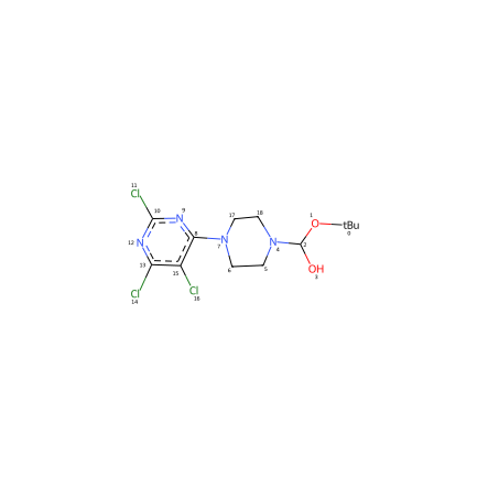 CC(C)(C)OC(O)N1CCN(c2nc(Cl)nc(Cl)c2Cl)CC1